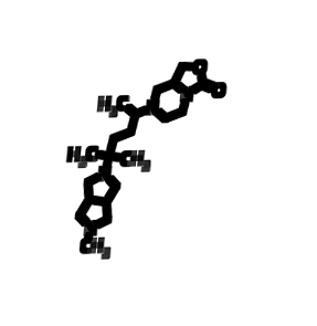 CC(CCC(C)(C)N1CC2CN(C)CC2C1)N1CCN2C(=O)OCC2C1